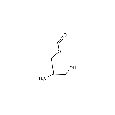 CC(CO)COC=O